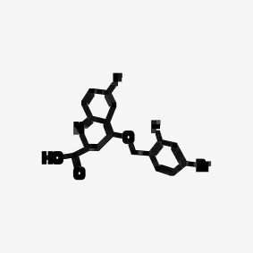 O=C(O)c1cc(OCc2ccc(Br)cc2F)c2cc(F)ccc2n1